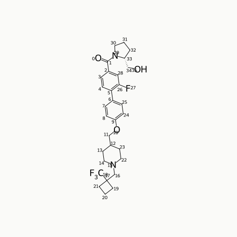 O=C(c1ccc(-c2ccc(OCC3CCN(CC4(C(F)(F)F)CCC4)CC3)cc2)c(F)c1)N1CCC[C@@H]1CO